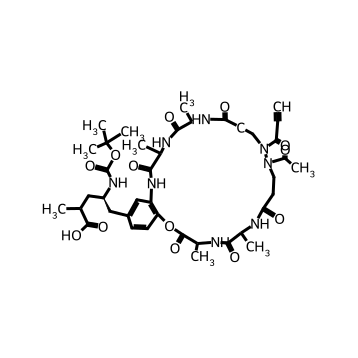 C#CC(=O)N1CCC(=O)NC(C)C(=O)NC(C)C(=O)Nc2cc(C[C@@H](CC(C)C(=O)O)NC(=O)OC(C)(C)C)ccc2OC(=O)C(C)NC(=O)C(C)NC(=O)CCN1C(C)=O